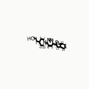 OCCC1CCN(c2ccc(-c3cc4ccccc4o3)nn2)CC1